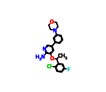 CC(Oc1cc(-c2cccc(N3CCOCC3)c2)cnc1N)c1cc(F)ccc1Cl